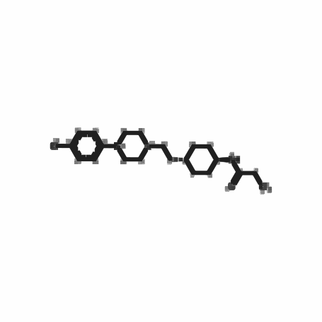 O=C(CC(F)(F)F)N[C@H]1CC[C@H](CCN2CCN(c3ccc(Cl)cc3)CC2)CC1